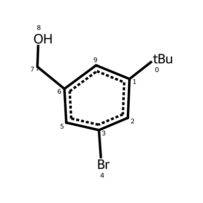 CC(C)(C)c1cc(Br)cc([CH]O)c1